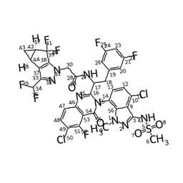 Cn1nc(NS(C)(=O)=O)c2c(Cl)ccc(-n3c(C(Cc4cc(F)cc(F)c4)NC(=O)Cn4nc(C(F)F)c5c4C(F)(F)[C@@H]4C[C@H]54)nc4ccc(Cl)c(F)c4c3=O)c21